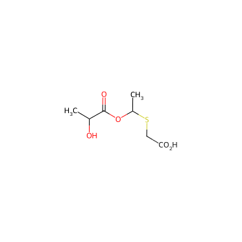 CC(OC(=O)C(C)O)SCC(=O)O